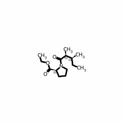 CCOC(=O)[C@@H]1CCCN1C(=O)[C@@H](C)[C@@H](C)CC